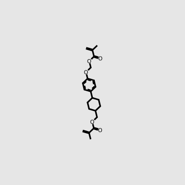 C=C(C)C(=O)OCOc1ccc(C2CCC(COC(=O)C(=C)C)CC2)cc1